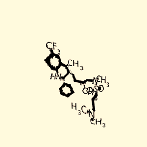 C[C@H](CC[C@@H]1[C@H](C)c2cc(C(F)(F)F)ccc2N[C@H]1c1ccccc1)CN(C)S(=O)(=O)CCCN(C)C